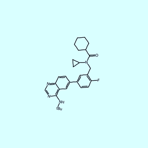 CC(C)(C)Nc1ncnc2ccc(-c3ccc(F)c(CN(C(=O)C4CCCCC4)C4CC4)c3)cc12